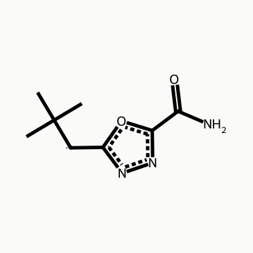 CC(C)(C)[CH]c1nnc(C(N)=O)o1